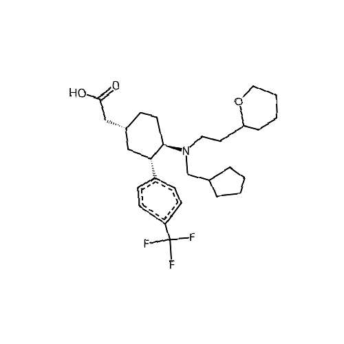 O=C(O)C[C@@H]1CC[C@@H](N(CCC2CCCCO2)CC2CCCC2)[C@H](c2ccc(C(F)(F)F)cc2)C1